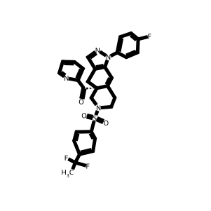 CC(F)(F)c1ccc(S(=O)(=O)N2CCC3=Cc4c(cnn4-c4ccc(F)cc4)C[C@]3(C(=O)c3ccccn3)C2)cc1